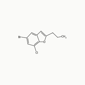 CCCc1cc2cc(Br)cc(Cl)c2o1